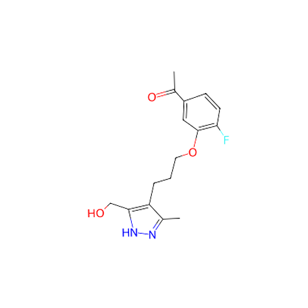 CC(=O)c1ccc(F)c(OCCCc2c(C)n[nH]c2CO)c1